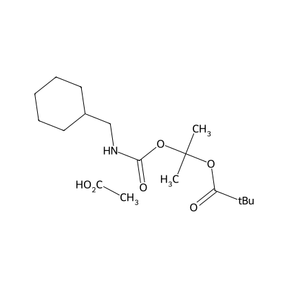 CC(=O)O.CC(C)(OC(=O)NCC1CCCCC1)OC(=O)C(C)(C)C